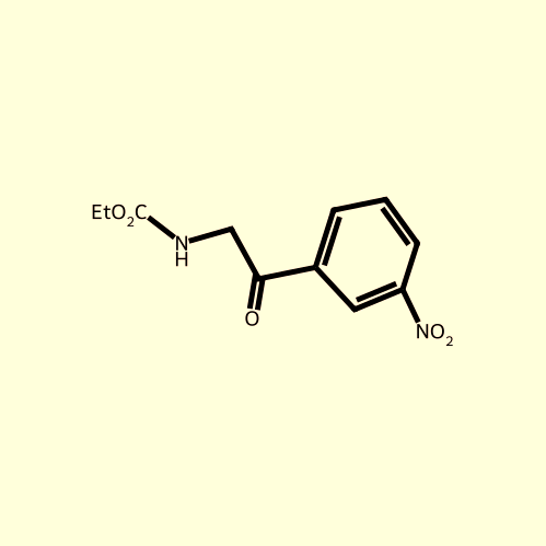 CCOC(=O)NCC(=O)c1cccc([N+](=O)[O-])c1